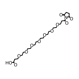 O=C(O)CCOCCOCCOCCOCCOCCOCCOCCC(=O)N1C(=O)CCC1=O